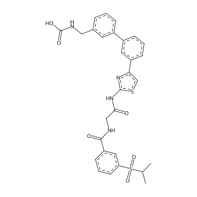 CC(C)S(=O)(=O)c1cccc(C(=O)NCC(=O)Nc2nc(-c3cccc(-c4cccc(CNC(=O)O)c4)c3)cs2)c1